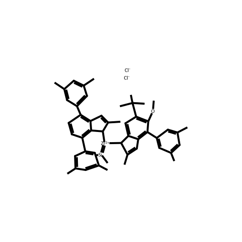 COc1c(C(C)(C)C)cc2c(c1-c1cc(C)cc(C)c1)C=C(C)[CH]2[Zr+2]([CH]1C(C)=Cc2c(-c3cc(C)cc(C)c3)ccc(-c3cc(C)cc(C)c3)c21)=[Si](C)C.[Cl-].[Cl-]